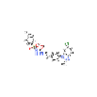 CCc1nc2ccc(Cl)cc2n1-c1ccc(CCNC(=O)NS(=O)(=O)c2ccc(C)cc2)cc1